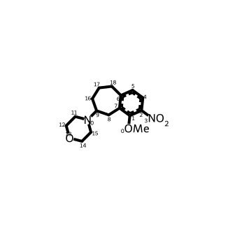 COc1c([N+](=O)[O-])ccc2c1CC(N1CCOCC1)CCC2